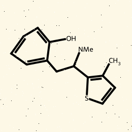 CNC(Cc1ccccc1O)c1sccc1C